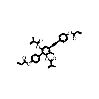 C=CC(=O)Oc1ccc(C#Cc2cc(OC(=O)C(=C)C)c(-c3ccc(OC(=O)C=C)cc3)c(OC(=O)C(=C)C)c2C)cc1